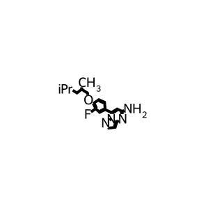 CC(C)CC(C)COc1ccc(-c2cc(N)nc3ccnn23)cc1F